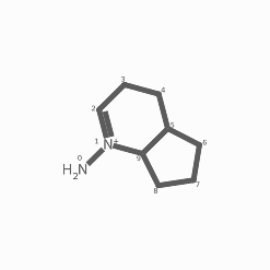 N[N+]1=CCCC2CCCC21